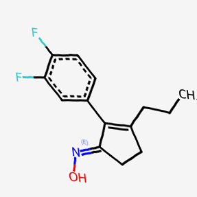 CCCC1=C(c2ccc(F)c(F)c2)/C(=N/O)CC1